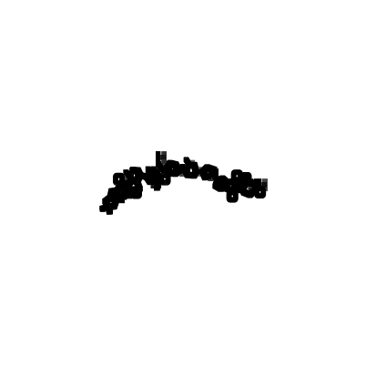 C[C@H]1CC([C@@H]2CCN(c3ccc4c(c3)C(=O)N(C3CCC(=O)NC3=O)C4=O)C2)CCN1c1ccc(Nc2nc(-c3ccnc(N4CCn5c(cc6c5CC(C)(C)C6)C4=O)c3CO)cn(C)c2=O)cc1